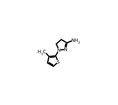 Cc1ccsc1N1CCC(N)=N1